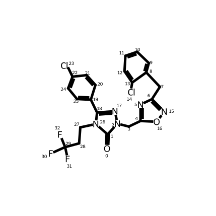 O=c1n(Cc2nc(Cc3ccccc3Cl)no2)nc(-c2ccc(Cl)cc2)n1CCC(F)(F)F